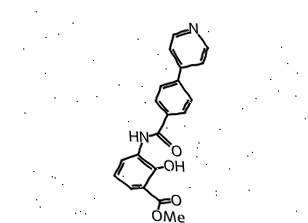 COC(=O)c1cccc(NC(=O)c2ccc(-c3ccncc3)cc2)c1O